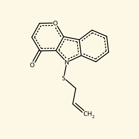 C=CCSn1c2ccccc2c2occc(=O)c21